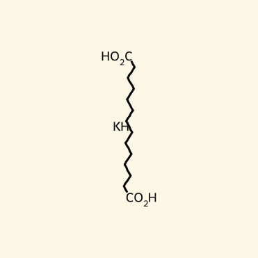 O=C(O)CCCCCCCCCCCCC(=O)O.[KH]